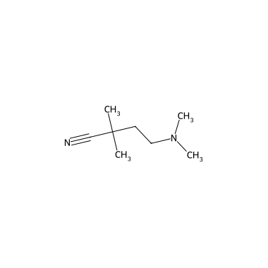 CN(C)CCC(C)(C)C#N